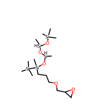 C[SiH](O[SiH](C)O[Si](C)(CCCOCC1CO1)[Si](C)(C)C)O[Si](C)(C)C